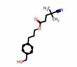 CC(C)(C#N)CCC(=O)OCCCc1ccc(CO)cc1